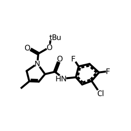 CC1=CC(C(=O)Nc2cc(Cl)c(F)cc2F)N(C(=O)OC(C)(C)C)C1